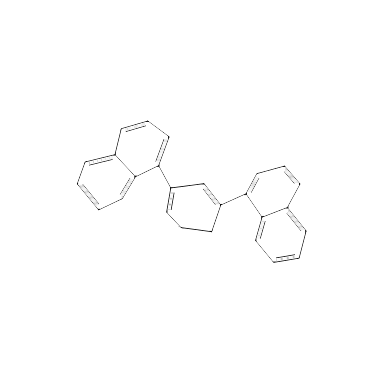 [CH]1C=C(c2cccc3ccccc23)C=C(c2cccc3ccccc23)C1